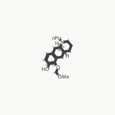 CCCN1CCC[C@@H]2Cc3c(ccc(O)c3OCOC)C[C@H]21